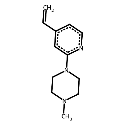 C=Cc1ccnc(N2CCN(C)CC2)c1